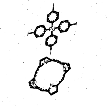 C1=Cc2cc3ccc(cc4nc(cc5ccc(cc1n2)[nH]5)C=C4)[nH]3.Ic1cc[c]([Pd]([c]2ccc(I)cc2)([c]2ccc(I)cc2)[c]2ccc(I)cc2)cc1